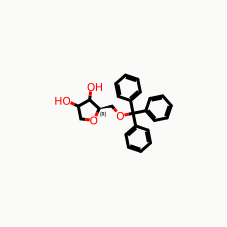 OC1CO[C@H](COC(c2ccccc2)(c2ccccc2)c2ccccc2)C1O